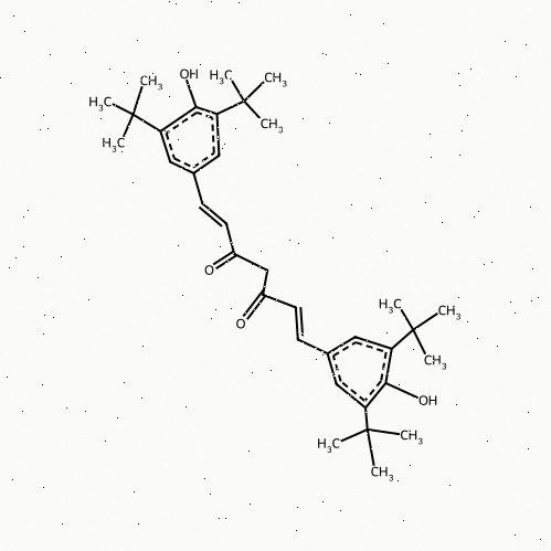 CC(C)(C)c1cc(/C=C/C(=O)CC(=O)/C=C/c2cc(C(C)(C)C)c(O)c(C(C)(C)C)c2)cc(C(C)(C)C)c1O